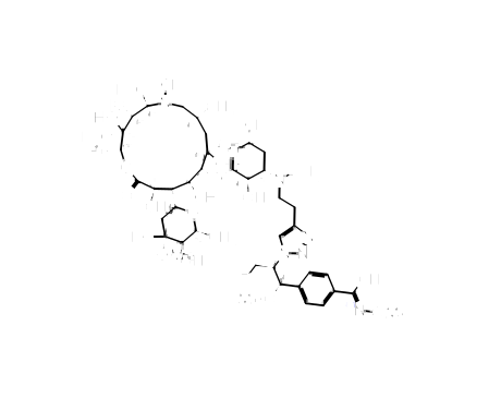 CC[C@H]1OC(=O)[C@H](C)C([C@H]2C[C@@](C)(OC)[C@@H](O)[C@H](C)O2)[C@H](C)[C@@H](O[C@@H]2O[C@H](C)C[C@H](N(C)CCc3cn([C@H](CF)[C@H](OC)c4ccc(/C(C)=N/OC)cc4)nn3)[C@H]2O)[C@](C)(O)C[C@@H](C)CN(C)[C@H](C)[C@@H](O)[C@]1(C)O